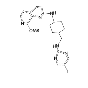 COc1nccc2ccc(NC3CCC(CNc4ncc(I)cn4)CC3)nc12